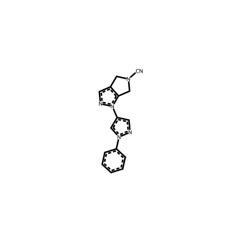 N#CN1Cc2cnn(-c3cnn(-c4ccccc4)c3)c2C1